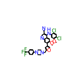 COc1cc(Nc2c(C#N)cnc3cc(-c4coc(CN5CCN(c6ccc(C(F)(F)F)cc6)CC5)c4)c(OC)cc23)c(Cl)cc1Cl